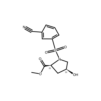 COC(=O)[C@@H]1C[C@H](O)CN1S(=O)(=O)c1cccc(C#N)c1